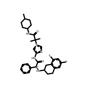 CC1CCC(NC(=O)C(C)(C)n2cnc(NC(=O)[C@@H](NC3CCc4cc(F)cc(F)c4C3)c3ccccc3)c2)CC1